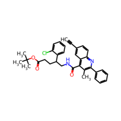 C#Cc1ccc2nc(-c3ccccc3)c(C)c(C(=O)NCC(CCC(=O)OC(C)(C)C)c3ccccc3Cl)c2c1